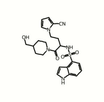 N#Cc1cccn1CCC(NS(=O)(=O)c1cccc2[nH]ccc12)C(=O)N1CCC(CO)CC1